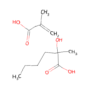 C=C(C)C(=O)O.CCCCC(C)(O)C(=O)O